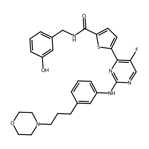 O=C(NCc1cccc(O)c1)c1ccc(-c2nc(Nc3cccc(CCCN4CCOCC4)c3)ncc2F)s1